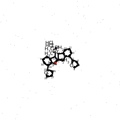 CC1=Cc2c(-c3ccco3)cccc2[CH]1[Zr]([CH3])([CH3])(=[SiH2])[CH]1C(C)=Cc2c(-c3ccco3)cccc21.Cl.Cl